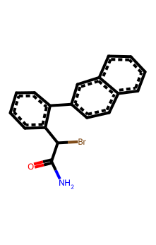 NC(=O)C(Br)c1ccccc1-c1ccc2ccccc2c1